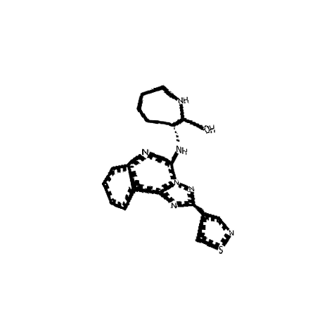 OC1NCCCC[C@H]1Nc1nc2ccccc2c2nc(-c3cnsc3)nn12